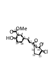 COC(=O)c1cc(/C=C/C(=O)N2CCC=C(Cl)C2=O)ccc1O